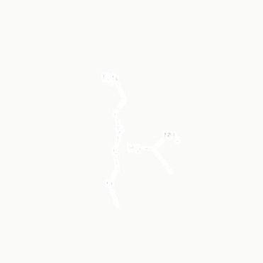 CC(N)O.COCCOCCN